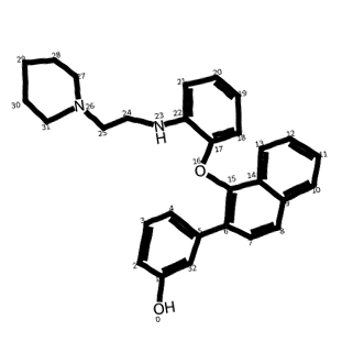 Oc1cccc(-c2ccc3ccccc3c2Oc2ccccc2NCCN2CCCCC2)c1